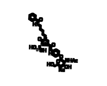 CCCCC(=O)N(CCCCCNC(=O)c1ccccc1)CCC(=O)Nc1ccc(O[C@@H]2O[C@H](CO)[C@H]([Na])[C@H](O)[C@H]2NC(C)=O)cc1.O=S(=O)(O)O